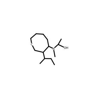 CCC(C)C1CCCCCCC1N(C)C(C)O